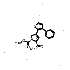 COC(=O)[C@@H]1C=C(c2sccc2-c2ccccc2)CN1C(=O)OC(C)(C)C